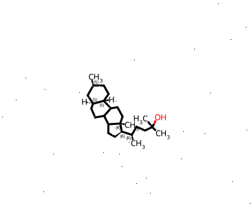 C[C@H]1CC[C@@H]2C3CC[C@@]4(C)C(CC[C@@H]4[C@H](C)CCC(C)(C)O)C3CC[C@H]2C1